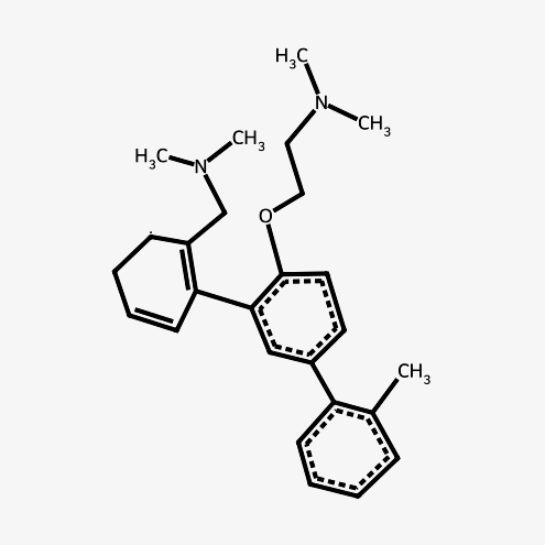 Cc1ccccc1-c1ccc(OCCN(C)C)c(C2=C(CN(C)C)[CH]CC=C2)c1